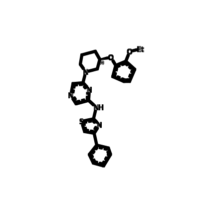 CCOc1ccccc1O[C@@H]1CCCN(c2cncc(Nc3nc(-c4ccccc4)cs3)n2)C1